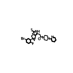 O=C(Cc1[nH]c(=S)n2c1C1C[C@]1(c1cc(Br)ccc1F)C2)N1CCN(c2ccccn2)CC1